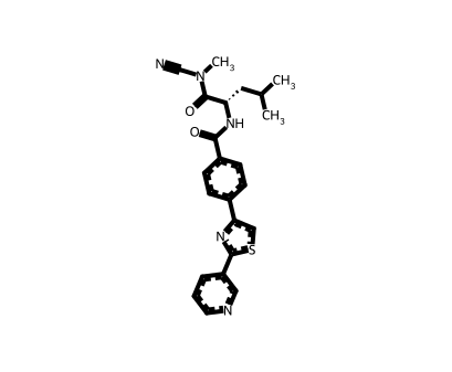 CC(C)C[C@H](NC(=O)c1ccc(-c2csc(-c3cccnc3)n2)cc1)C(=O)N(C)C#N